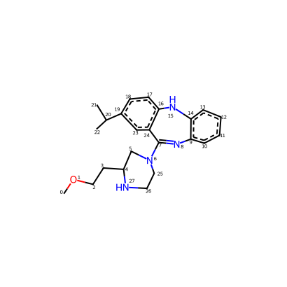 COCCC1CN(C2=Nc3ccccc3Nc3ccc(C(C)C)cc32)CCN1